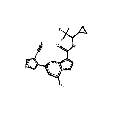 Cc1cc(-c2cscc2C#N)nc2c(C(=O)NC(C3CC3)C(F)(F)F)ncn12